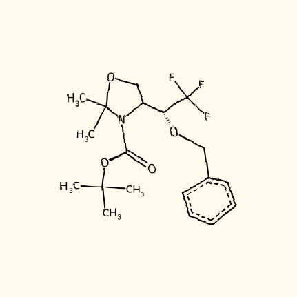 CC(C)(C)OC(=O)N1C([C@@H](OCc2ccccc2)C(F)(F)F)COC1(C)C